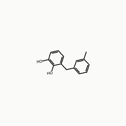 Cc1cccc(Cc2cccc(O)c2O)c1